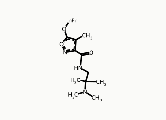 CCCOc1onc(C(=O)NCC(C)(C)N(C)C)c1C